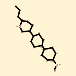 CCCC1CCC(C2CCC(C3CCC(OC)CC3)CC2)CO1